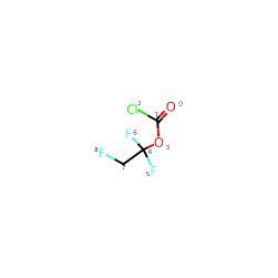 O=C(Cl)OC(F)(F)CF